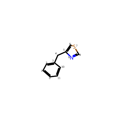 c1ccc(Cc2cscn2)cc1